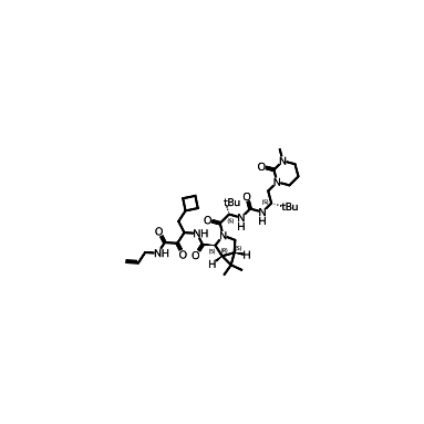 C=CCNC(=O)C(=O)C(CC1CCC1)NC(=O)[C@@H]1[C@@H]2[C@H](CN1C(=O)[C@@H](NC(=O)N[C@H](CN1CCCN(C)C1=O)C(C)(C)C)C(C)(C)C)C2(C)C